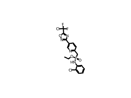 CCOP(=O)(Cc1ccc(-c2noc(C(F)(F)Cl)n2)cn1)Nc1ccccc1Cl